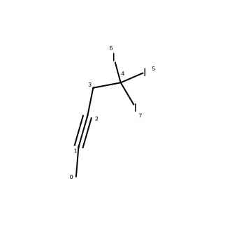 CC#CCC(I)(I)I